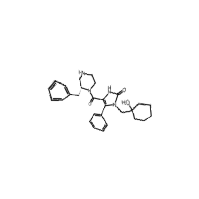 O=C(c1[nH]c(=O)n(CC2(O)CCCCC2)c1-c1ccccc1)N1CCNC[C@H]1Cc1ccccc1